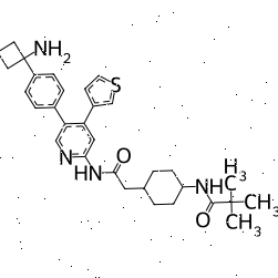 CC(C)(C)C(=O)NC1CCC(CC(=O)Nc2cc(-c3ccsc3)c(-c3ccc(C4(N)CCC4)cc3)cn2)CC1